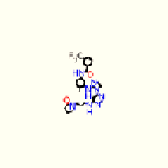 Cc1ccc(NC(=O)c2cccc(C(F)(F)F)c2)cc1Nc1nccn1-c1cc(NCCCN2CCCC2=O)ncn1